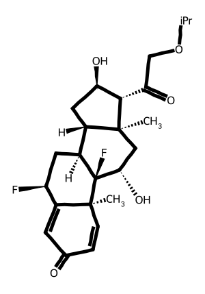 CC(C)OCC(=O)[C@H]1[C@H](O)C[C@H]2[C@@H]3C[C@H](F)C4=CC(=O)C=C[C@]4(C)[C@@]3(F)[C@@H](O)C[C@@]21C